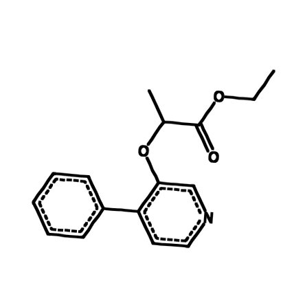 CCOC(=O)C(C)Oc1cnccc1-c1ccccc1